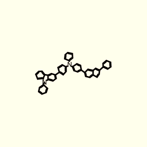 c1ccc(-c2ccc3ccc(-c4ccc(N(c5ccccc5)c5ccc(-c6ccc7c(c6)c6ccccc6n7-c6ccccc6)cc5)cc4)cc3c2)cc1